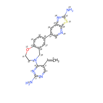 C=Cc1cnc(N)nc1N1CCOc2ccc(-c3cnc4sc(N)nc4c3)cc2C1